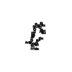 CCCCC(CC)Cc1cccc2c(C(=NOC(C)=O)c3ccc(OCC(F)(F)C(F)(F)C(F)(F)C(F)(F)COc4ccc(C(=O)c5cc6c7cc(C(CC(C)CC(C)(C)C)=NO)ccc7n(CC(CC)CCCC)c6c6ccccc56)cc4)cc3)cc3c4cc(C(=O)CC(C)CC(C)(C)C)ccc4[nH]c3c12